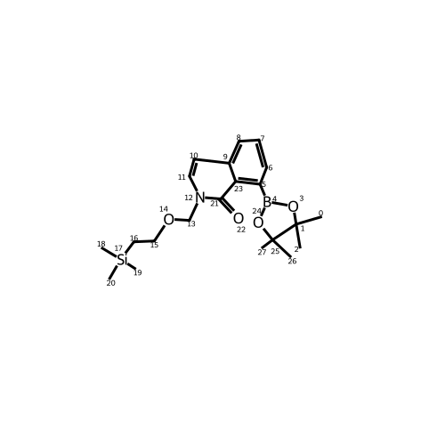 CC1(C)OB(c2cccc3ccn(COCC[Si](C)(C)C)c(=O)c23)OC1(C)C